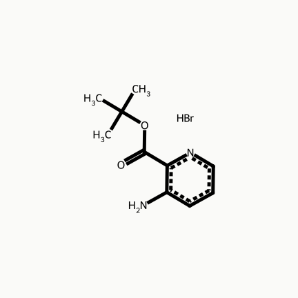 Br.CC(C)(C)OC(=O)c1ncccc1N